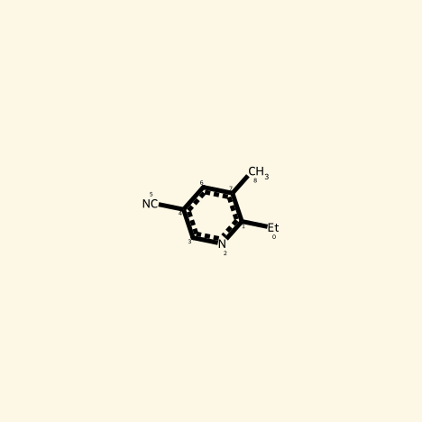 CCc1ncc(C#N)cc1C